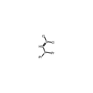 CC(C)N([SiH]=[Si](Cl)Cl)C(C)C